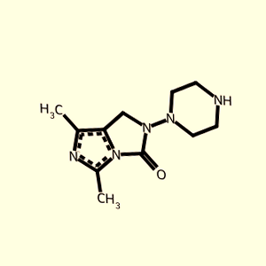 Cc1nc(C)n2c1CN(N1CCNCC1)C2=O